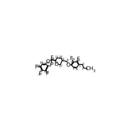 CCCc1ccc(OCC2CCC(C(F)(F)Oc3cc(F)c(F)c(F)c3)OC2)c(F)c1F